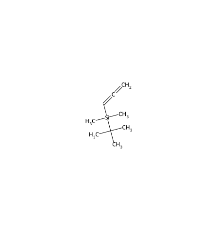 C=C=C[Si](C)(C)C(C)(C)C